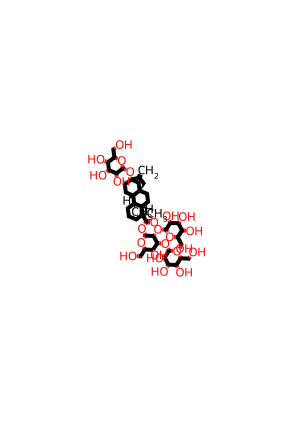 C=C1C[C@@]23CC[C@H]4[C@@](C)(CCC[C@@]4(C)C(=O)OC4OC(CO)C(O)C(OC5OC(CO)C(O)C(O)C5O)C4OC4OC(CO)C(O)C(O)C4O)[C@@H]2CC[C@]1(OC1OC(CO)C(O)C(O)C1O)C3